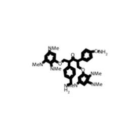 CNc1cc(NC)c(NC)c(OCC(C(=O)C(COc2cc(NC)cc(NC)c2NC)c2ccc(CN)cc2)c2ccc(CN)cc2)c1